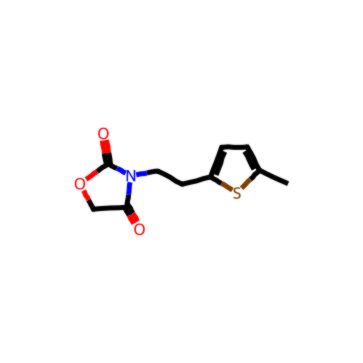 Cc1ccc(CCN2C(=O)COC2=O)s1